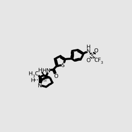 C[C@H]1[C@H](NC(=O)c2ccc(-c3ccc(NS(=O)(=O)C(F)(F)F)cc3)s2)C2CCN1CC2